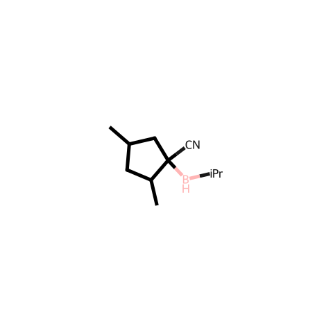 CC(C)BC1(C#N)CC(C)CC1C